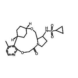 Cc1ccnc2c1[C@H]1CC[C@H](CC1)OCC1C(NS(=O)(=O)C3CC3)CCN1C(=O)CO2